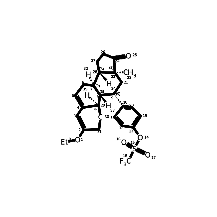 CCOC1=CC2=CC[C@@H]3[C@H]([C@@H](c4ccc(OS(=O)(=O)C(F)(F)F)cc4)C[C@]4(C)C(=O)CC[C@@H]34)[C@H]2CC1